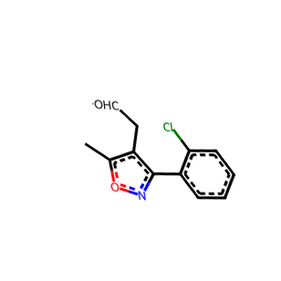 Cc1onc(-c2ccccc2Cl)c1C[C]=O